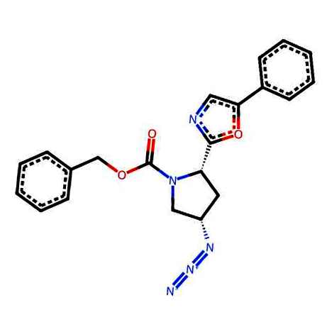 [N-]=[N+]=N[C@H]1C[C@@H](c2ncc(-c3ccccc3)o2)N(C(=O)OCc2ccccc2)C1